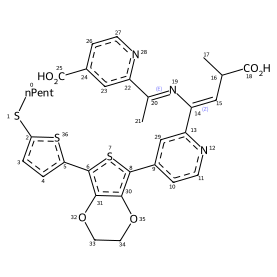 CCCCCSc1ccc(-c2sc(-c3ccnc(C(=C/C(C)C(=O)O)/N=C(\C)c4cc(C(=O)O)ccn4)c3)c3c2OCCO3)s1